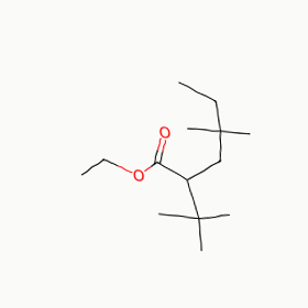 CCOC(=O)C(CC(C)(C)CC)C(C)(C)C